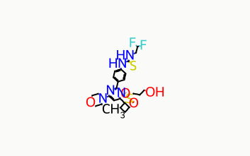 C[C@H]1COCCN1c1cc(C2(S(=O)(=O)CCCO)CCC2)nc(-c2ccc(NC(=S)NCC(F)F)cc2)n1